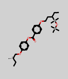 CCC(CCOc1ccc(C(=O)Oc2ccc(OC[C@@H](C)CC)cc2)cc1)[Si](C)(C)O[Si](C)(C)C